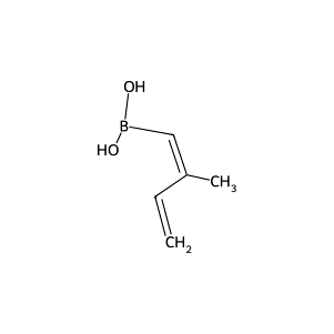 C=CC(C)=CB(O)O